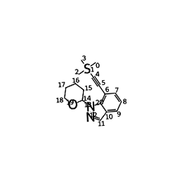 CS(C)(C)C#Cc1cccc2cnn(C3CCCCO3)c12